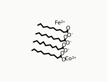 CCCCCCCCCC(=O)[O-].CCCCCCCCCC(=O)[O-].CCCCCCCCCC(=O)[O-].CCCCCCCCCC(=O)[O-].[Co+2].[Fe+2]